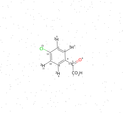 [2H]c1c([2H])c([13C](=O)C(=O)O)c([2H])c([2H])c1Cl